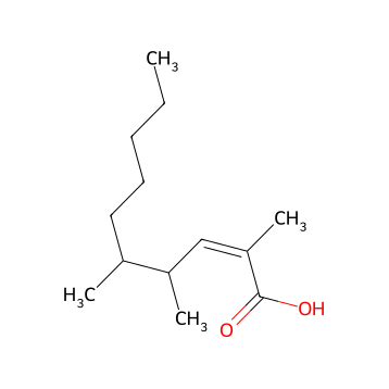 CCCCCC(C)C(C)C=C(C)C(=O)O